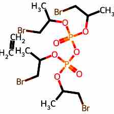 C=C.CC(CBr)OP(=O)(OC(C)CBr)OP(=O)(OC(C)CBr)OC(C)CBr